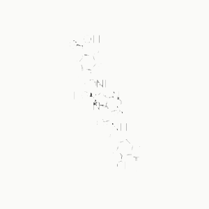 Cc1cc(CNC(=O)c2ncnc3c(NC4CCc5cc(C(=O)O)ccc54)n(C)nc23)ccc1F